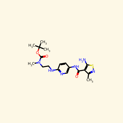 Cc1nsc(N)c1C(=O)Nc1ccc(NCCN(C)C(=O)OC(C)(C)C)nc1